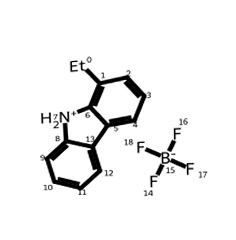 CCc1cccc2c1[NH2+]c1ccccc1-2.F[B-](F)(F)F